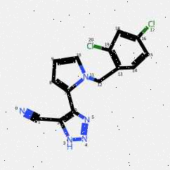 N#Cc1[nH]nnc1-c1cccn1Cc1ccc(Cl)cc1Cl